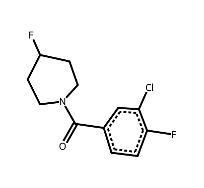 O=C(c1ccc(F)c(Cl)c1)N1CC[C](F)CC1